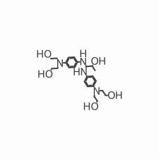 CC(O)C(Nc1ccc(N(CCO)CCO)cc1)Nc1ccc(N(CCO)CCO)cc1